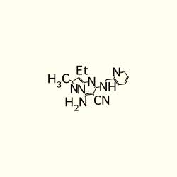 CCc1c(C)nn2c(N)c(C#N)c(NCc3ccccn3)nc12